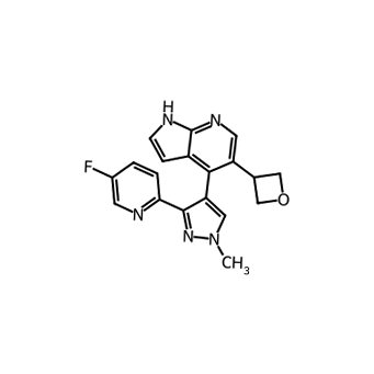 Cn1cc(-c2c(C3COC3)cnc3[nH]ccc23)c(-c2ccc(F)cn2)n1